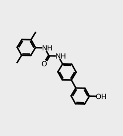 Cc1ccc(C)c(NC(=O)Nc2ccc(-c3cccc(O)c3)cc2)c1